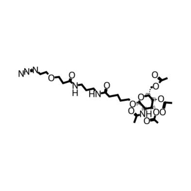 CC(=O)N[C@H]1[C@H](OCCCCC(=O)NCCCNC(=O)CCOCCN=[N+]=[N-])O[C@H](COC(C)=O)[C@H](OC(C)=O)[C@@H]1OC(C)=O